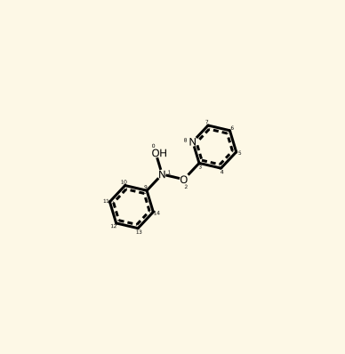 ON(Oc1ccccn1)c1ccccc1